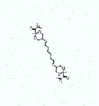 CN(C)C(=O)C1(C)OCC(SCCCCCCSC2COC(C)(C(=O)N(C)C)OC2)CO1